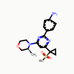 C[C@H]1COCCN1c1cc(C2(S(=O)(=O)C(C)(C)C)CC2)nc(-c2ccc(N)cc2)n1